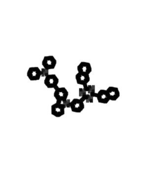 c1ccc(N(c2ccccc2)c2ccc(-c3ccc4c(c3)c3ccccc3n4-c3cccc(-c4nc(-c5ccc6ccccc6c5)nc(-c5ccc6ccccc6c5)n4)c3)cc2)cc1